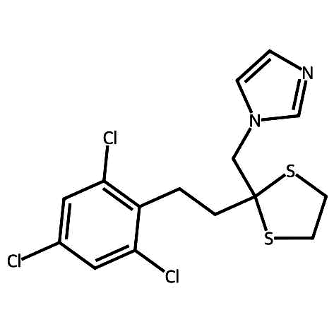 Clc1cc(Cl)c(CCC2(Cn3ccnc3)SCCS2)c(Cl)c1